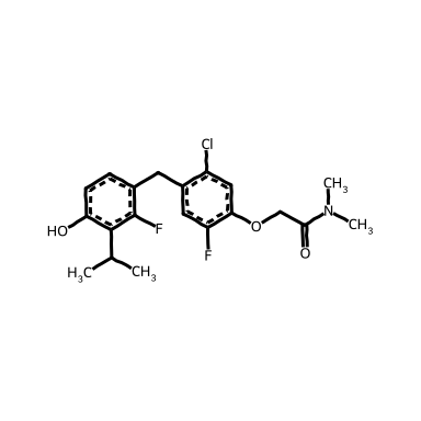 CC(C)c1c(O)ccc(Cc2cc(F)c(OCC(=O)N(C)C)cc2Cl)c1F